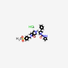 CS(=O)(=O)c1ccc(CN2CCC3(CCN(C[C@H]4CN(C(=O)NC5CCCC5)C[C@@H]4c4ccccc4)CC3)C2=O)cc1.Cl